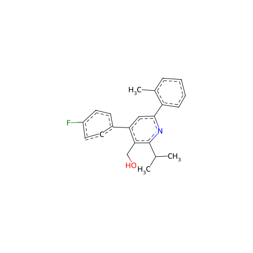 Cc1ccccc1-c1cc(-c2ccc(F)cc2)c(CO)c(C(C)C)n1